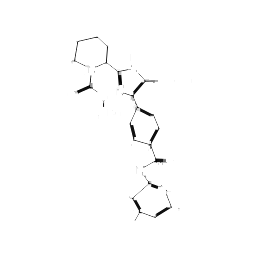 CCOC(=O)c1[nH]c(C2CCCCN2C(=O)OC(C)(C)C)nc1-c1ccc(C(=O)Nc2cc(CC)ccn2)cc1